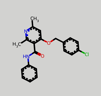 Cc1cc(OCc2ccc(Cl)cc2)c(C(=O)Nc2ccccc2)c(C)n1